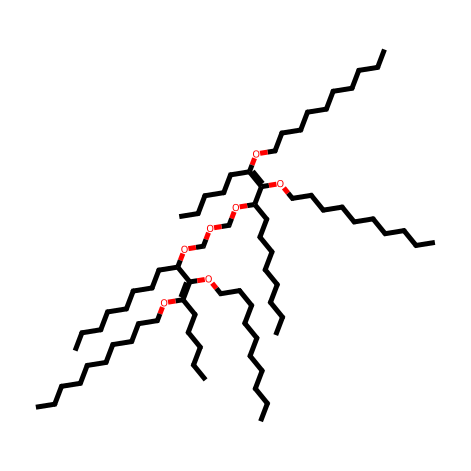 CCCCCCCCCCOC(CCCCC)=C(OCCCCCCCCCC)C(CCCCCCCC)OCOCOC(CCCCCCCC)C(OCCCCCCCCCC)=C(CCCCC)OCCCCCCCCCC